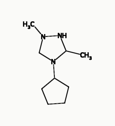 CC1NN(C)CN1C1CCCC1